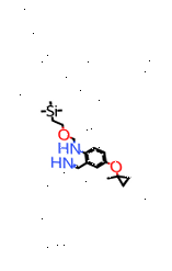 CC1(Oc2ccc(NCOCC[Si](C)(C)C)c(C=N)c2)CC1